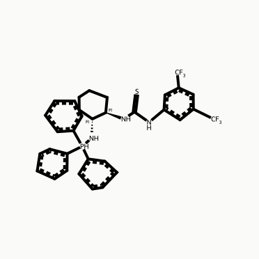 FC(F)(F)c1cc(NC(=S)N[C@@H]2CCCC[C@H]2N[PH](c2ccccc2)(c2ccccc2)c2ccccc2)cc(C(F)(F)F)c1